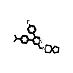 CC(C)c1ccc(-c2cc(CN3CCC4(CCCC4)CC3)ncc2-c2ccc(F)cc2)cc1